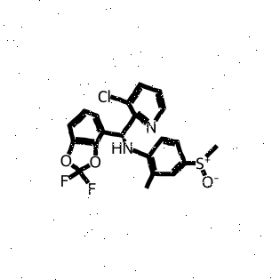 Cc1cc([S+](C)[O-])ccc1N[C@@H](c1cccc2c1OC(F)(F)O2)c1ncccc1Cl